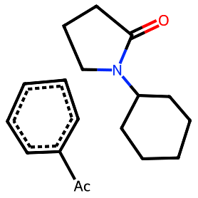 CC(=O)c1ccccc1.O=C1CCCN1C1CCCCC1